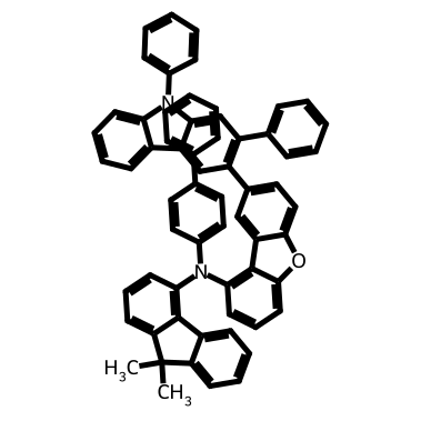 CC1(C)c2ccccc2-c2c(N(c3ccc(-c4ccccc4)cc3)c3cccc4oc5ccc(-c6cc7c8ccccc8n(-c8ccccc8)c7cc6-c6ccccc6)cc5c34)cccc21